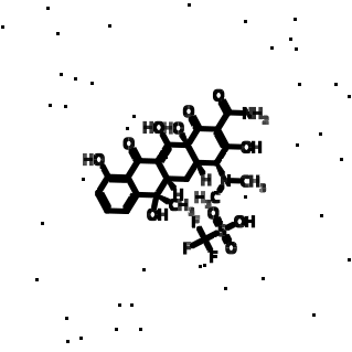 CN(C)[C@@H]1C(O)=C(C(N)=O)C(=O)[C@@]2(O)C(O)=C3C(=O)c4c(O)cccc4[C@@](C)(O)[C@H]3C[C@@H]12.O=S(=O)(O)C(F)(F)F